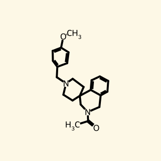 COc1ccc(CN2CCC3(CC2)CN(C(C)=O)Cc2ccccc23)cc1